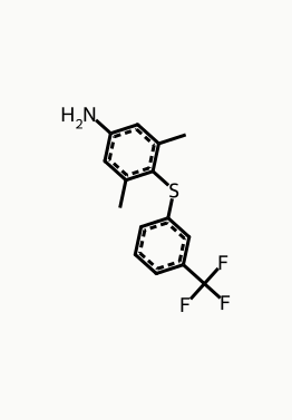 Cc1cc(N)cc(C)c1Sc1cccc(C(F)(F)F)c1